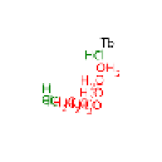 Cl.Cl.Cl.O.O.O.O.O.O.[Tb]